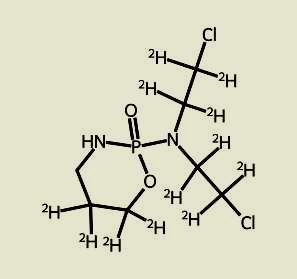 [2H]C([2H])(Cl)C([2H])([2H])N(C([2H])([2H])C([2H])([2H])Cl)P1(=O)NCC([2H])([2H])C([2H])([2H])O1